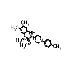 CON=C(Nc1cc(C)c(C)cc1OC)N1CCN(c2ccc(C)cc2)CC1